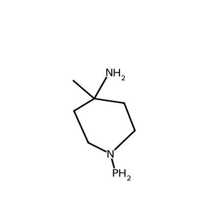 CC1(N)CCN(P)CC1